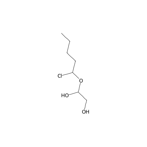 CCCCC(Cl)OC(O)CO